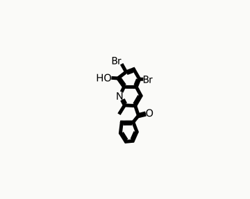 Cc1nc2c(O)c(Br)cc(Br)c2cc1C(=O)c1ccccc1